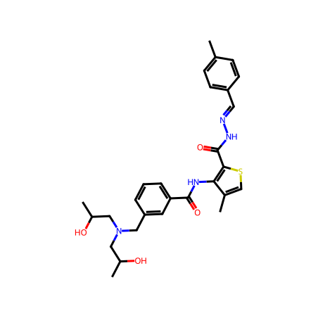 Cc1ccc(C=NNC(=O)c2scc(C)c2NC(=O)c2cccc(CN(CC(C)O)CC(C)O)c2)cc1